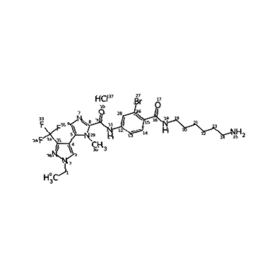 CCn1cc(-c2cnc(C(=O)Nc3ccc(C(=O)NCCCCCCN)c(Br)c3)n2C)c(C(F)(F)F)n1.Cl